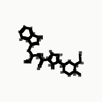 CCCCC(Cc1c[nH]c2ccccc12)NC(=O)c1nnc(N2CCN(C)C(CF)C2)[nH]1